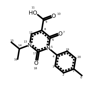 Cc1ccc(-n2c(=O)c(C(=O)O)cn(C(C)C)c2=O)cc1